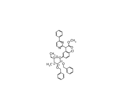 CC[C@H]1O[C@@H](c2ccc(Cl)c(C(C(=O)OC)c3nccc(-c4ccccc4)n3)c2)[C@H](OCc2ccccc2)[C@@H](OCc2ccccc2)[C@@H]1C